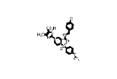 CCc1ccc(CNC(=O)[C@H]2CN(c3nc(C)c(C(=O)O)s3)CCN2S(=O)(=O)c2ccc(OC(F)(F)F)cc2)cc1